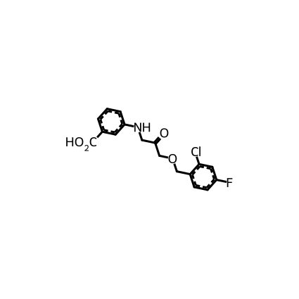 O=C(CNc1cccc(C(=O)O)c1)COCc1ccc(F)cc1Cl